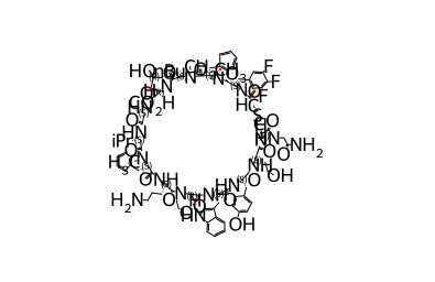 CCCC[C@H]1C(=O)N2C[C@H](O)C[C@@H]2C(=O)N[C@@H](CC(=O)O)C(=O)N[C@@H](C(C)C)C(=O)N(C)[C@@H](Cc2ccccc2)C(=O)N[C@@H](CCCN)C(=O)N2CCOC[C@@H]2C(=O)N[C@@H](Cc2c[nH]c3ccccc23)C(=O)N[C@@H](Cc2ccc(O)cc2)C(=O)N[C@@H](CCO)C(=O)N[C@H](C(=O)NCC(N)=O)CSCC(=O)N[C@@H](Cc2cc(F)c(F)c(F)c2)C(=O)N(C)[C@@H](Cc2ccccc2)C(=O)N1C